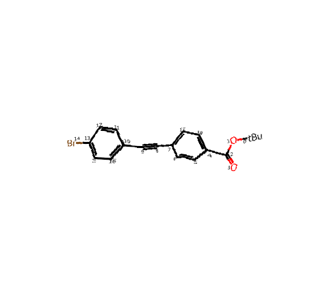 CC(C)(C)OC(=O)c1ccc(C#Cc2ccc(Br)cc2)cc1